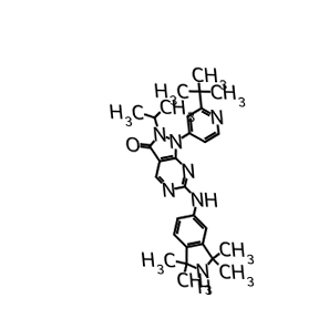 CC(C)n1c(=O)c2cnc(Nc3ccc4c(c3)C(C)(C)NC4(C)C)nc2n1-c1ccnc(C(C)(C)C)c1